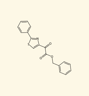 O=C(OCc1ccccc1)C(=O)c1csc(-c2ccccc2)n1